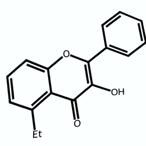 CCc1cccc2oc(-c3ccccc3)c(O)c(=O)c12